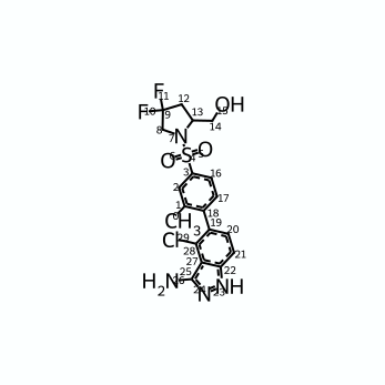 Cc1cc(S(=O)(=O)N2CC(F)(F)CC2CO)ccc1-c1ccc2[nH]nc(N)c2c1Cl